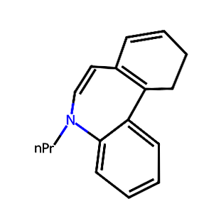 [CH2]CCN1C=CC2=C(CCC=C2)c2ccccc21